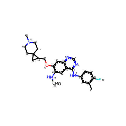 Cc1cc(Nc2ncnc3cc(OCC4CC45CCN(C)CC5)c(NC=O)cc23)ccc1F